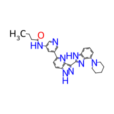 CCCC(=O)Nc1cncc(-c2ccc3[nH]nc(-c4nc5c(N6CCCCC6)cccc5[nH]4)c3n2)c1